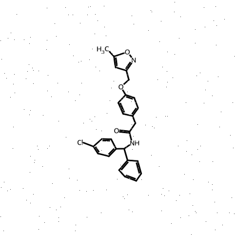 Cc1cc(COc2ccc(CC(=O)NC(c3ccccc3)c3ccc(Cl)cc3)cc2)no1